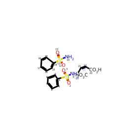 NS(=O)(=O)c1ccccc1.NS(=O)(=O)c1ccccc1.O=C(O)/C=C\C(=O)O